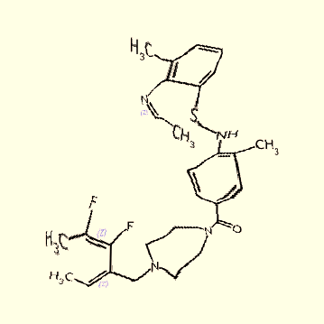 C/C=N\c1c(C)cccc1SNc1ccc(C(=O)N2CCN(CC(=C/C)/C(F)=C(\C)F)CC2)cc1C